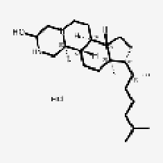 CC(C)CCC[C@@H](C)[C@H]1CC[C@H]2[C@@H]3CCN4CC(O)NC[C@]4(C)[C@H]3CC[C@]12C.Cl